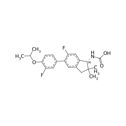 CC(C)Oc1ccc(-c2cc3c(cc2F)[C@H](NC(=O)O)C(C)(C)C3)cc1F